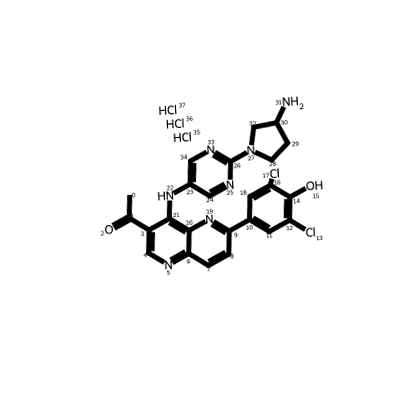 CC(=O)c1cnc2ccc(-c3cc(Cl)c(O)c(Cl)c3)nc2c1Nc1cnc(N2CCC(N)C2)nc1.Cl.Cl.Cl